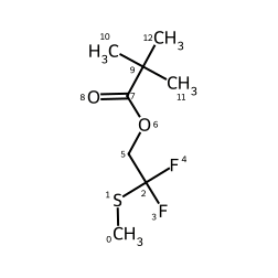 CSC(F)(F)COC(=O)C(C)(C)C